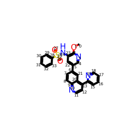 COc1ncc(-c2ccc3nccc(-c4ccccn4)c3c2)cc1NS(=O)(=O)c1ccccc1